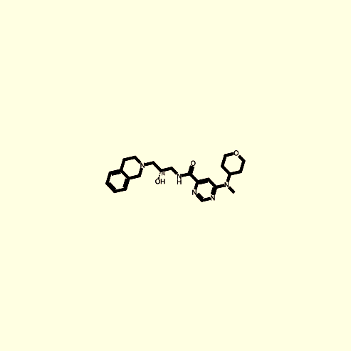 CN(c1cc(C(=O)NC[C@H](O)CN2CCc3ccccc3C2)ncn1)C1CCOCC1